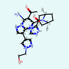 CC(=O)c1c(C2C[C@H]3CC[C@@H](C2)N3C(=O)c2nnc[nH]2)nc2c(-c3cnn(CCO)c3)cnn2c1N